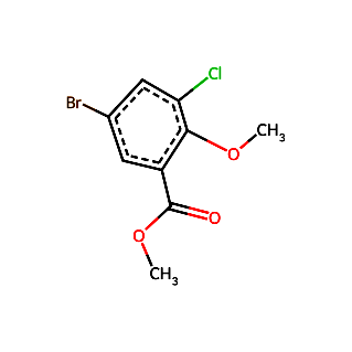 COC(=O)c1cc(Br)cc(Cl)c1OC